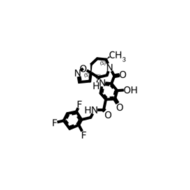 C[C@H]1CC[C@]2(CC=NO2)[C@H]2CN1C(=O)c1c(O)c(=O)c(C(=O)NCc3c(F)cc(F)cc3F)cn12